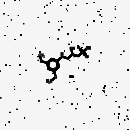 COc1cc(NCC(O)CS(=O)(=O)O)cc(OC)c1.[Na]